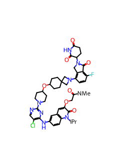 CNC(=O)COc1cc2cc(Nc3nc(N4CCC(OC5CCC6(CC5)CN(c5ccc(F)c7c5CN(C5CCC(=O)NC5=O)C7=O)C6)CC4)ncc3Cl)ccc2n(C(C)C)c1=O